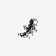 C=C1/C(=C\C=C2/CCC[C@@]3(C)C2CCC3[C@@H](C)/C=C/C(O)C2CC2)C[C@@H](OC(=O)NC2CC(C)(C)CC(C)(NC(=O)OCC3OC(n4ccc(N)nc4=O)C(F)(F)C3O)C2)C[C@@H]1O